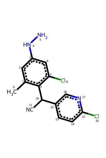 Cc1cc(NN)cc(Cl)c1C(C#N)c1ccc(Cl)nc1